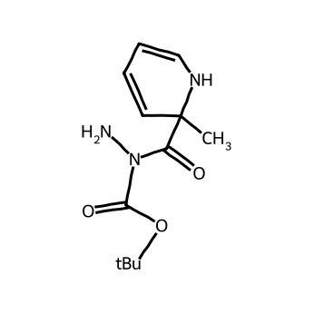 CC(C)(C)OC(=O)N(N)C(=O)C1(C)C=CC=CN1